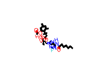 C#CC(CO)(OC)C(Cn1cnc2c(NC(=O)CCCCCC)nc(F)nc21)OC(=O)CC(C)(C)c1c(C)cc(C)cc1OC(C)=O